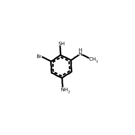 CNc1cc(N)cc(Br)c1S